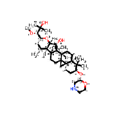 CCO[C@@H]([C@H]1C[C@@H](C)[C@H]2[C@H](O1)[C@H](O)[C@@]1(C)[C@@H]3CC[C@H]4C(C)(C)[C@@H](O[C@H]5CNCCO5)CC[C@@]45CC35CC[C@]21C)C(C)(C)O